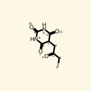 O=C(CI)CC1C(=O)NC(=O)NC1=O